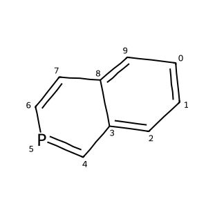 c1ccc2cpccc2c1